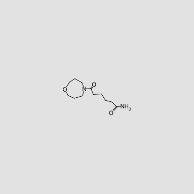 NC(=O)CCCCC(=O)N1CCCOCCC1